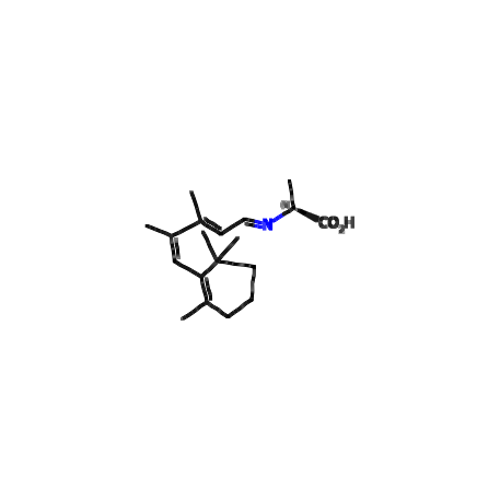 CC(=CC=N[C@@H](C)C(=O)O)C(C)=CC1=C(C)CCCC1(C)C